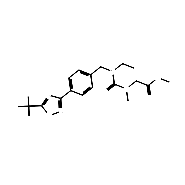 CCN(Cc1ccc(-c2noc(C(F)(F)F)n2)cc1)C(=O)N(C)CC(=O)NC